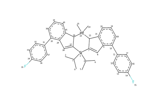 CC(C)[Si]1(C(C)C)C2=Cc3c(-c4ccc(F)cc4)cccc3[CH]2[Hf]([CH3])([CH3])[CH]2C1=Cc1c(-c3ccc(F)cc3)cccc12